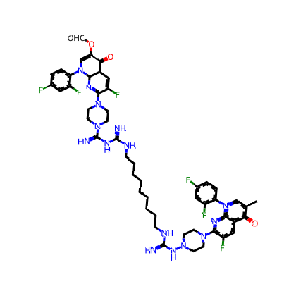 Cc1cn(-c2ccc(F)cc2F)c2nc(N3CCN(NC(=N)NCCCCCCCCCNC(=N)NC(=N)N4CCN(C5=NC6C(C=C5F)C(=O)C(OC=O)=CN6c5ccc(F)cc5F)CC4)CC3)c(F)cc2c1=O